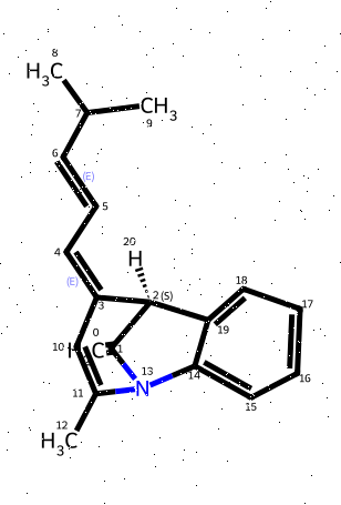 C=C1[C@H]2/C(=C\C=C\C(C)C)C=C(C)N1c1ccccc12